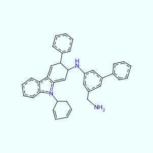 NCc1cc(NC2C=c3c(c4ccccc4n3C3C=CC=CC3)=CC2c2ccccc2)cc(-c2ccccc2)c1